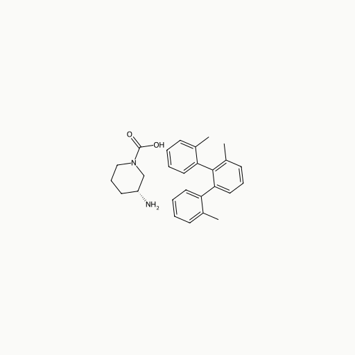 Cc1ccccc1-c1cccc(C)c1-c1ccccc1C.N[C@@H]1CCCN(C(=O)O)C1